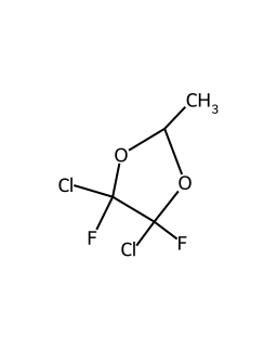 CC1OC(F)(Cl)C(F)(Cl)O1